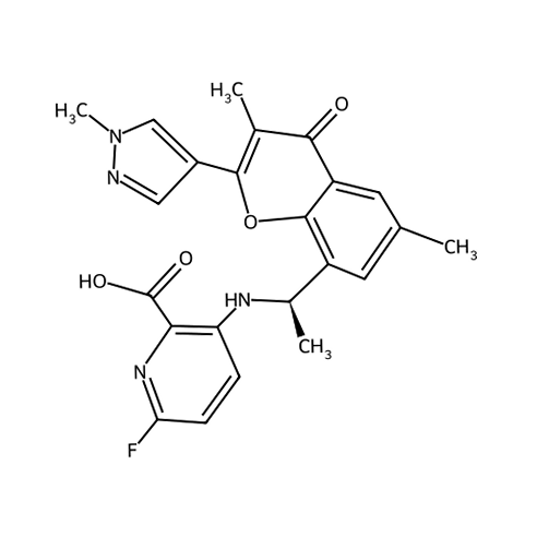 Cc1cc([C@@H](C)Nc2ccc(F)nc2C(=O)O)c2oc(-c3cnn(C)c3)c(C)c(=O)c2c1